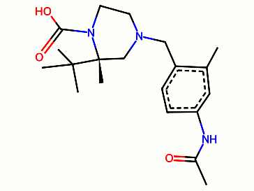 CC(=O)Nc1ccc(CN2CCN(C(=O)O)[C@@](C)(C(C)(C)C)C2)c(C)c1